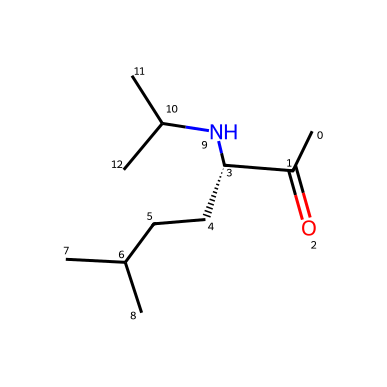 CC(=O)[C@H](CCC(C)C)NC(C)C